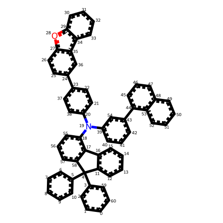 c1ccc(C2(c3ccccc3)c3ccccc3-c3c(N(c4ccc(-c5ccc6oc7ccccc7c6c5)cc4)c4cccc(-c5cccc6ccccc56)c4)cccc32)cc1